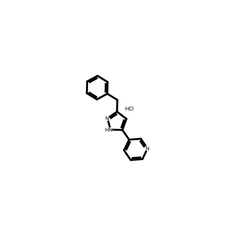 Cl.c1ccc(Cc2cc(-c3cccnc3)[nH]n2)cc1